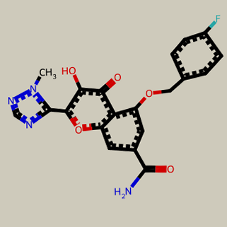 Cn1ncnc1-c1oc2cc(C(N)=O)cc(OCc3ccc(F)cc3)c2c(=O)c1O